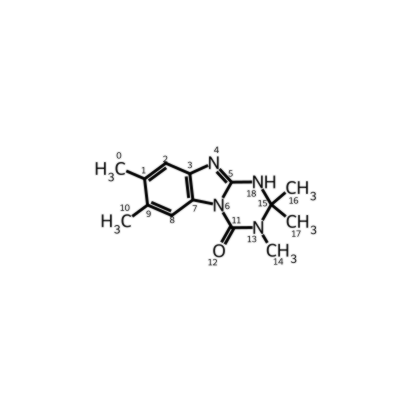 Cc1cc2nc3n(c2cc1C)C(=O)N(C)C(C)(C)N3